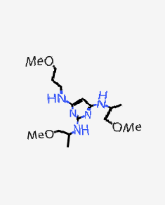 COCCCNc1cc(NC(C)COC)nc(NC(C)COC)n1